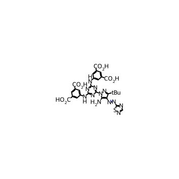 CC(C)(C)c1nn(-c2nc(Nc3cc(C(=O)O)cc(C(=O)O)c3)nc(Nc3cc(C(=O)O)cc(C(=O)O)c3)n2)c(N)c1/N=N/c1ncns1